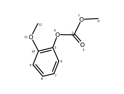 COC(=O)Oc1ccc[c]c1OC